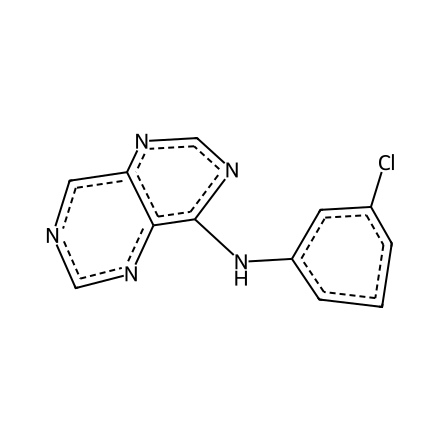 Clc1cccc(Nc2ncnc3cncnc23)c1